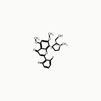 COc1cc(OC)c2c(=O)cc(-c3c(F)cccc3F)oc2c1[C@H]1CCN(C)[C@@H]1CO